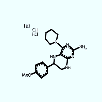 COc1ccc(C2CNc3nc(N)nc(N4CCCCC4)c3N2)cc1.Cl.Cl.Cl